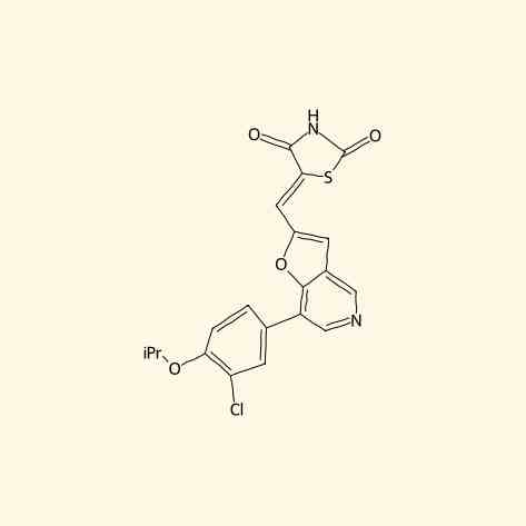 CC(C)Oc1ccc(-c2cncc3cc(/C=C4\SC(=O)NC4=O)oc23)cc1Cl